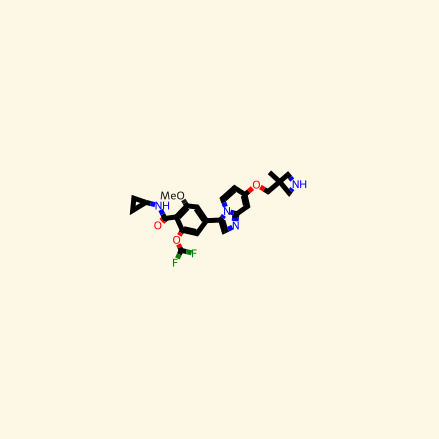 COc1cc(-c2cnc3cc(OCC4(C)CNC4)ccn23)cc(OC(F)F)c1C(=O)NC1CC1